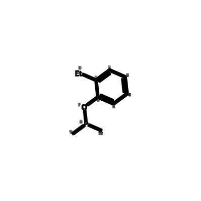 CCc1ccccc1OP(C)C